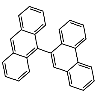 c1ccc2c(-c3cc4ccccc4c4ccccc34)c3ccccc3cc2c1